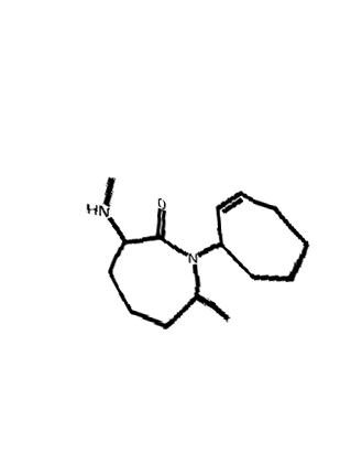 CNC1CCCC(C)N(C2C=CCCCC2)C1=O